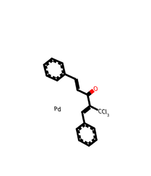 O=C(C=Cc1ccccc1)C(=Cc1ccccc1)C(Cl)(Cl)Cl.[Pd]